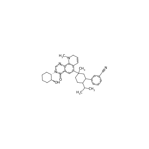 CC(C)C1CCC(C)(c2cc3c(=O)n([C@H]4CCCC[C@@H]4O)cnc3c3c2C=CCN3C)CC1c1cccc(C#N)c1